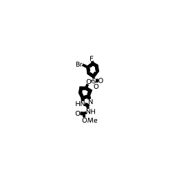 COC(=O)Nc1nc2cc(OS(=O)(=O)c3ccc(F)c(Br)c3)ccc2[nH]1